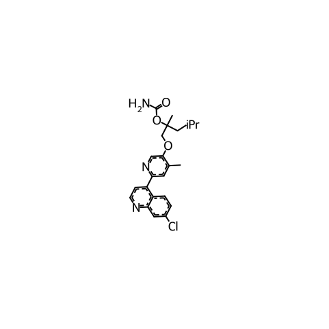 Cc1cc(-c2ccnc3cc(Cl)ccc23)ncc1OCC(C)(CC(C)C)OC(N)=O